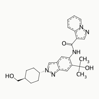 CC(C)(O)c1cc2nn([C@H]3CC[C@H](CO)CC3)cc2cc1NC(=O)c1cnn2ccccc12